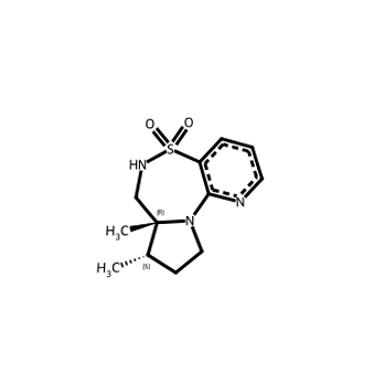 C[C@H]1CCN2c3ncccc3S(=O)(=O)NC[C@@]12C